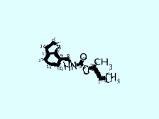 C/C=C(\C)OC(=O)NCc1cccc2ccsc12